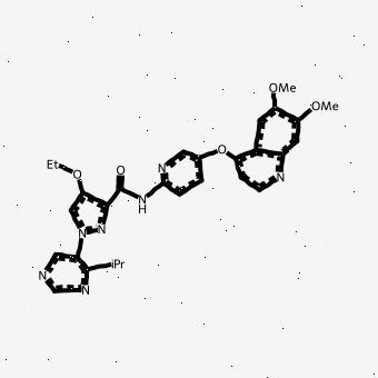 CCOc1cn(-c2cncnc2C(C)C)nc1C(=O)Nc1ccc(Oc2ccnc3cc(OC)c(OC)cc23)cn1